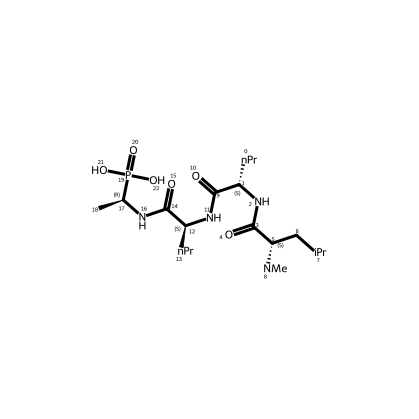 CCC[C@H](NC(=O)[C@H](CC(C)C)NC)C(=O)N[C@@H](CCC)C(=O)N[C@@H](C)P(=O)(O)O